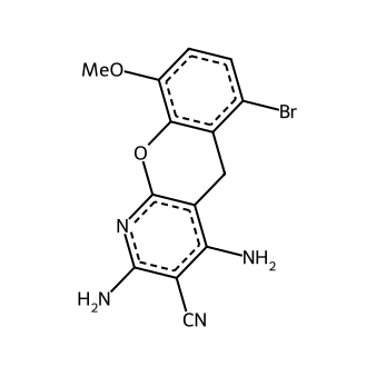 COc1ccc(Br)c2c1Oc1nc(N)c(C#N)c(N)c1C2